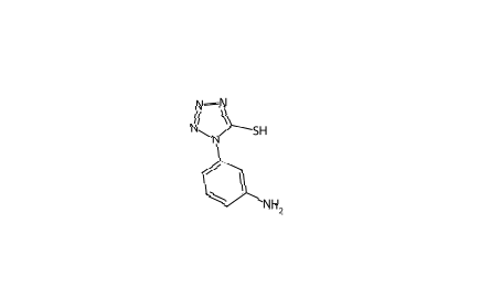 Nc1cccc(-n2nnnc2S)c1